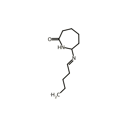 [CH2]CCCC=NC1CCCCC(=O)N1